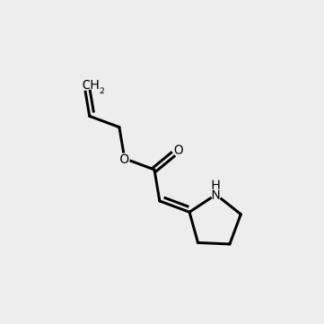 C=CCOC(=O)C=C1CCCN1